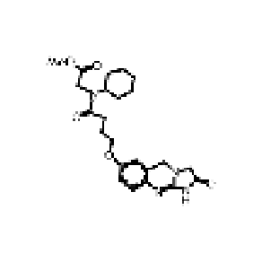 COC(=O)CN(C(=O)CCCOc1ccc2c(c1)CN1CC(=O)NC1=N2)C1CCCCC1